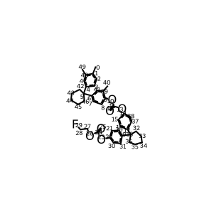 Cc1ccc(C2(c3ccc(OC(=O)Oc4ccc(C5(c6ccc(OC(=O)OCCF)cc6)CCCCC5)cc4)c(C)c3)CCCCC2)cc1C